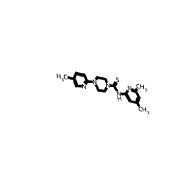 Cc1ccc(N2CCN(C(=S)Nc3cc(C)cc(C)n3)CC2)nc1